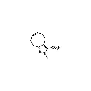 Cn1cc2c(c1C(=O)O)CCC=CCC2